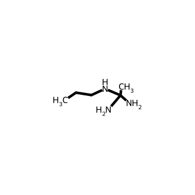 CCCNC(C)(N)N